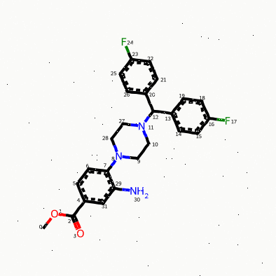 COC(=O)c1ccc(N2CCN(C(c3ccc(F)cc3)c3ccc(F)cc3)CC2)c(N)c1